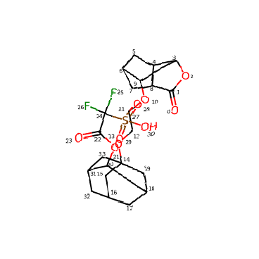 O=C1OC2C3CC(CC13)C2OCCOC12CC3CC(C1)C(OC(=O)C(F)(F)S(=O)(=O)O)C(C3)C2